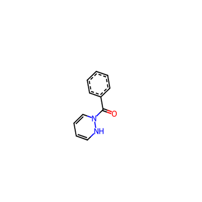 O=C(c1ccccc1)N1C=CC=CN1